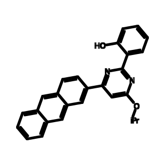 CC(C)Oc1cc(-c2ccc3cc4ccccc4cc3c2)nc(-c2ccccc2O)n1